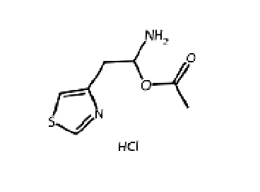 CC(=O)OC(N)Cc1cscn1.Cl